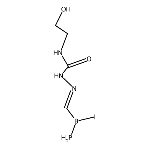 O=C(NCCO)NN=CB(P)I